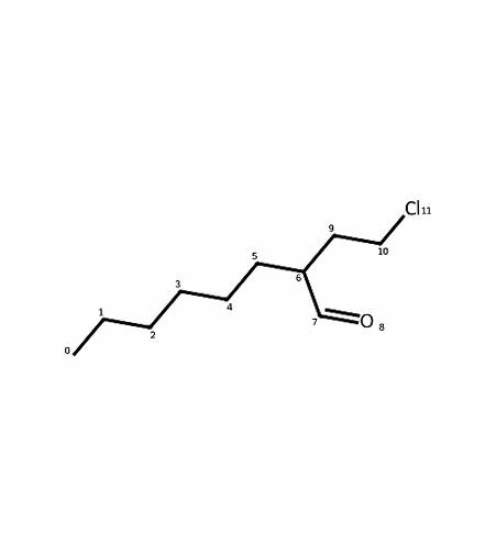 CCCCCCC(C=O)CCCl